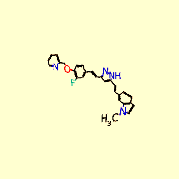 Cn1ccc2ccc(C=Cc3cc(C=Cc4ccc(OCc5ccccn5)c(F)c4)n[nH]3)cc21